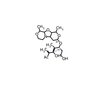 C=C(C(C)=O)/C(O)=C(\C)[C@H](CCO)O[C@H]1CC2C(OC3C(C)OCCN23)C(C)O1